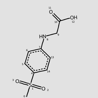 CS(=O)(=O)c1ccc(NCC(=O)O)cc1